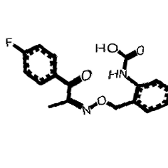 CC(=NOCc1ccccc1NC(=O)O)C(=O)c1ccc(F)cc1